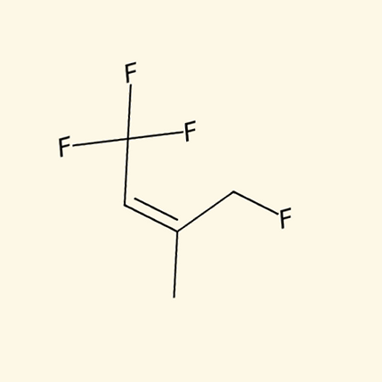 C/C(=C/C(F)(F)F)CF